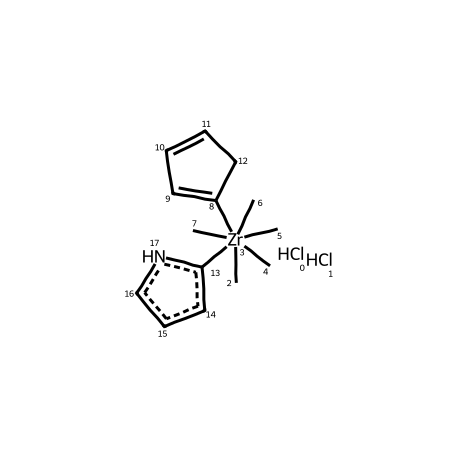 Cl.Cl.[CH3][Zr]([CH3])([CH3])([CH3])([CH3])([C]1=CC=CC1)[c]1ccc[nH]1